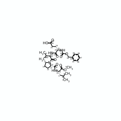 COC(=O)[C@H](CC(C)C)NC(=O)[C@@H]1CCCN1C(=O)[C@@H](NC(=O)[C@H](CCC(=O)O)NC(=O)OCc1ccccc1)C(C)C